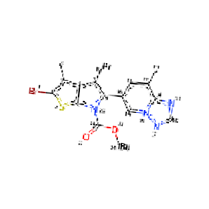 Cc1c(Br)sc2c1c(C(C)C)c(-c1cc(C)c3ncnn3c1)n2C(=O)OC(C)(C)C